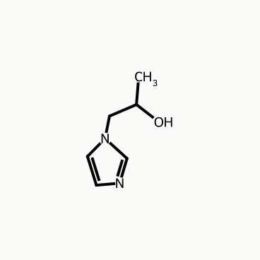 CC(O)Cn1ccnc1